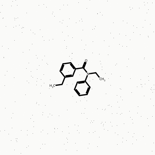 CCc1cccc(C(=O)N(CC)c2ccccc2)c1